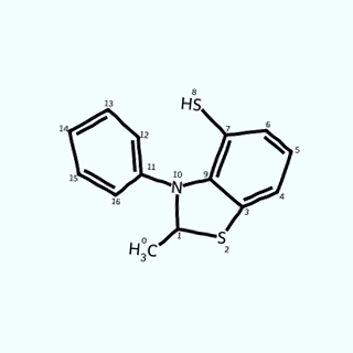 CC1Sc2cccc(S)c2N1c1ccccc1